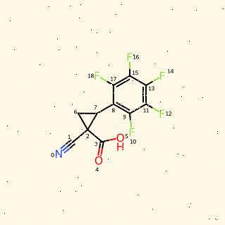 N#CC1(C(=O)O)CC1c1c(F)c(F)c(F)c(F)c1F